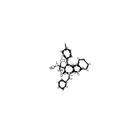 CCCC(OC(C)(C)C)(C(=O)O)c1c(-c2ccc(C)cc2)c2c3c(sc2n(Cc2ccccc2)c1=O)CCCC3